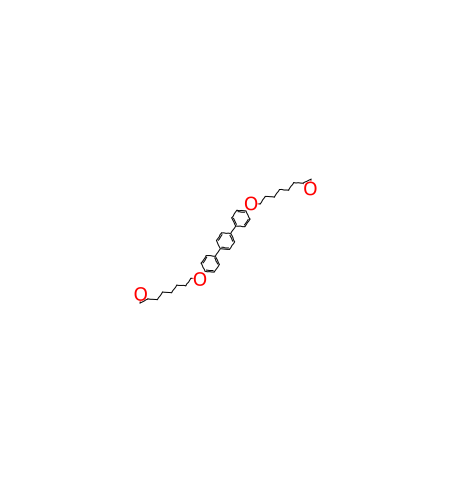 c1cc(-c2ccc(-c3ccc(OCCCCCCC4CO4)cc3)cc2)ccc1OCCCCCCC1CO1